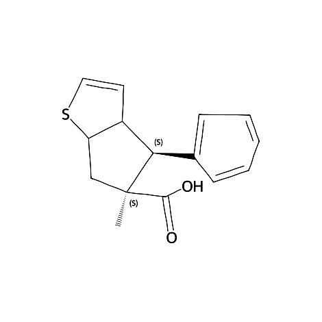 C[C@]1(C(=O)O)CC2SC=CC2[C@H]1c1ccccc1